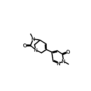 CN1C(=O)N2CC(c3cnn(C)c(=O)c3)=CC1C2